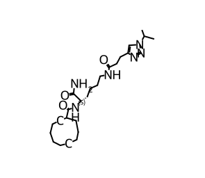 CC(C)n1cc(CCC(=O)NCCCC[C@H](NC(=O)C2CCCCCCCCC2)C(N)=O)nn1